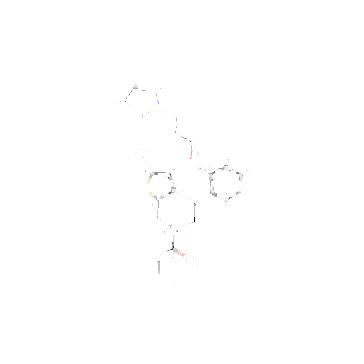 C=CC(=O)N1Cc2sc(Cl)cc2[C@H](c2ccccc2OCCCN2CCCC2)C1